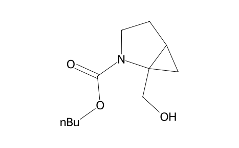 CCCCOC(=O)N1CCC2CC21CO